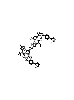 CCC(C(=O)N1C[C@H](O)C[C@H]1C(=O)N[C@@H](C)c1ccc(-c2cnco2)cc1)c1cc(CO[C@@H]2C[C@@H](C(=O)N[C@@H](C)c3ccc(-c4cnco4)cc3)N(C(=O)[C@@H](c3cc(C)no3)C(C)(C)C)C2)no1